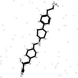 CCCc1ccc(C2CCC(OCC3CCC(C=C(F)C#N)CC3)CC2)cc1